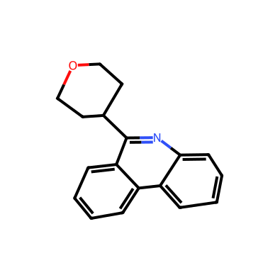 c1ccc2c(c1)nc(C1CCOCC1)c1ccccc12